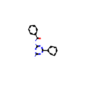 Nc1nc(NC(=O)c2ccccc2)nc(-c2ccccc2)n1